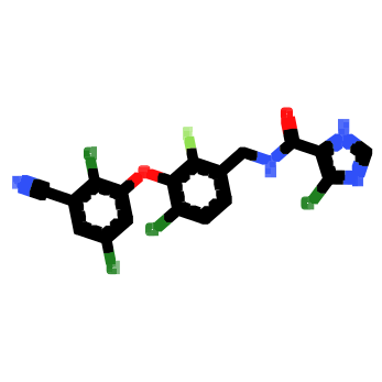 N#Cc1cc(Cl)cc(Oc2c(Cl)ccc(CNC(=O)c3[nH]cnc3Cl)c2F)c1Cl